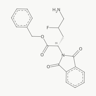 NCC(F)C[C@@H](C(=O)OCc1ccccc1)N1C(=O)c2ccccc2C1=O